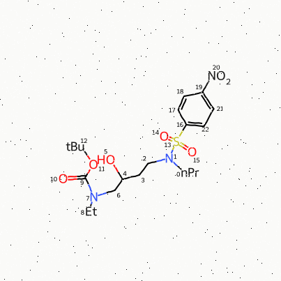 CCCN(CCC(O)CN(CC)C(=O)OC(C)(C)C)S(=O)(=O)c1ccc([N+](=O)[O-])cc1